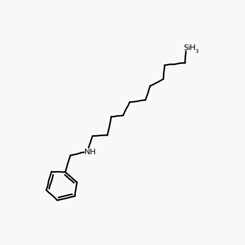 [SiH3]CCCCCCCCCCNCc1ccccc1